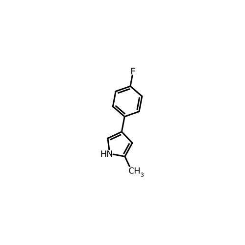 Cc1cc(-c2ccc(F)cc2)c[nH]1